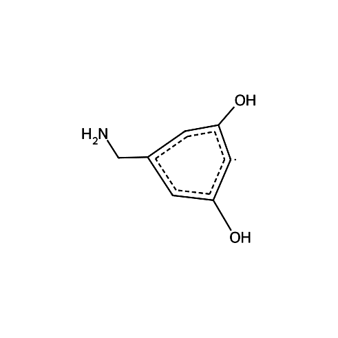 NCc1cc(O)[c]c(O)c1